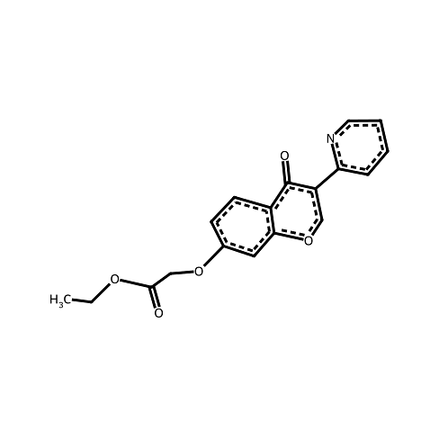 CCOC(=O)COc1ccc2c(=O)c(-c3ccccn3)coc2c1